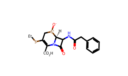 CCSC1=C(C(=O)O)N2C(=O)C(NC(=O)Cc3ccccc3)[C@@H]2[S+]([O-])C1